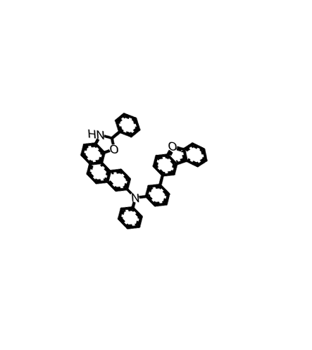 c1ccc(C2Nc3ccc4ccc5cc(N(c6ccccc6)c6cccc(-c7ccc8oc9ccccc9c8c7)c6)ccc5c4c3O2)cc1